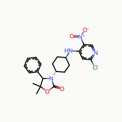 CC1(C)OC(=O)N([C@H]2CC[C@H](Nc3cc(Cl)ncc3[N+](=O)[O-])CC2)C1c1ccccc1